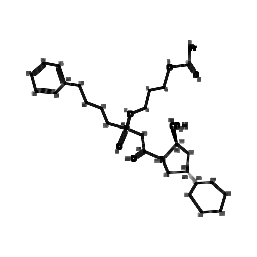 CC(C)C(=O)OCCCOP(=O)(CCCCc1ccccc1)CC(=O)N1C[C@@H](C2CCCCC2)C[C@@H]1C(=O)O